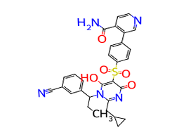 CCC(c1cccc(C#N)c1)n1c(CC2CC2)nc(=O)c(S(=O)(=O)c2ccc(-c3cnccc3C(N)=O)cc2)c1O